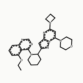 CCOc1cccc2ncnc(N3CCCCC3c3cc4nc(N5CCC5)cc(N5CCOCC5)n4n3)c12